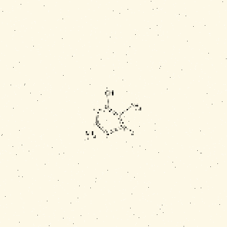 Cc1cccc(O)c1N.N